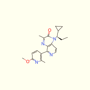 CC[C@H](C1CC1)n1c(=O)c(C)nc2c(-c3ccc(OC)nc3C)nccc21